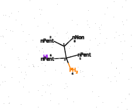 CCCCCCCCCC(CCCCC)C(P)(CCCCC)CCCCC.I